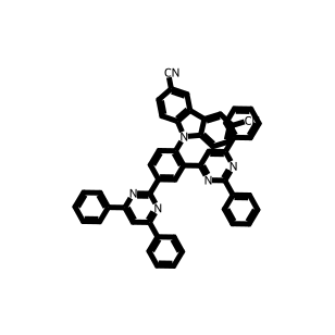 N#Cc1ccc2c(c1)c1cc(C#N)ccc1n2-c1ccc(-c2nc(-c3ccccc3)cc(-c3ccccc3)n2)cc1-c1cc(-c2ccccc2)nc(-c2ccccc2)n1